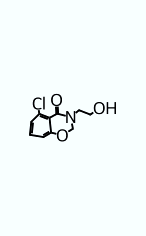 O=C1c2c(Cl)cccc2OCN1CCO